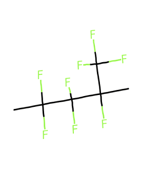 CC(F)(F)C(F)(F)C(C)(F)C(F)(F)F